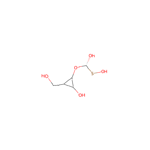 OCC1C(O)C1O[C@H](O)SO